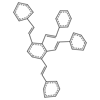 C(=Cc1ccc(C=Cc2ccccc2)c(C=Cc2ccccc2)c1C=Cc1ccccc1)c1ccccc1